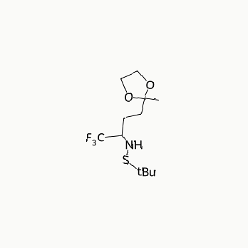 CC1(CCC(NSC(C)(C)C)C(F)(F)F)OCCO1